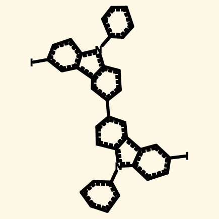 Ic1ccc2c(c1)c1cc(-c3ccc4c(c3)c3cc(I)ccc3n4-c3ccccc3)ccc1n2-c1ccccc1